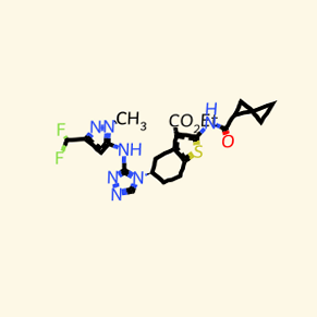 CCOC(=O)c1c(NC(=O)C2CC23CC3)sc2c1C[C@@H](n1cnnc1Nc1cc(C(F)F)nn1C)CC2